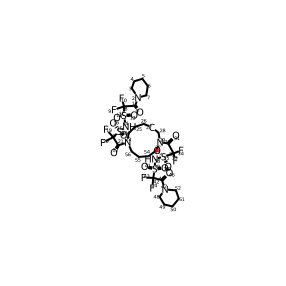 O=C(N1CCCCC1)C(F)(F)S(=O)(=O)NS(=O)(=O)C(F)(F)C(=O)N1CCCCCN(C(=O)C(F)(F)S(=O)(=O)NS(=O)(=O)C(F)(F)C(=O)N2CCCCC2)CCCC1